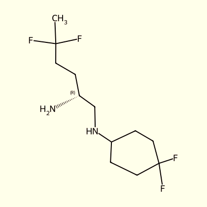 CC(F)(F)CC[C@@H](N)CNC1CCC(F)(F)CC1